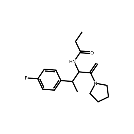 C=C(C(NC(=O)CC)C(C)c1ccc(F)cc1)N1CCCC1